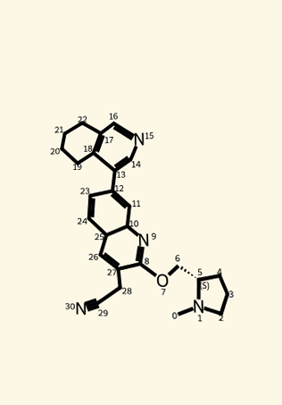 CN1CCC[C@H]1COC1=NC2C=C(c3cncc4c3CCCC4)C=CC2C=C1CC#N